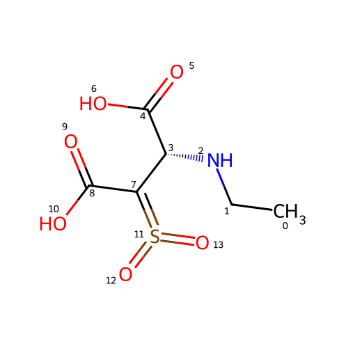 CCN[C@@H](C(=O)O)C(C(=O)O)=S(=O)=O